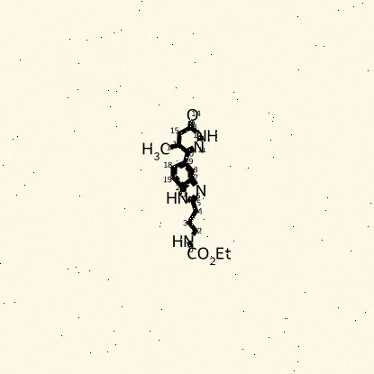 CCOC(=O)NCCCc1nc2cc(C3=NNC(=O)CC3C)ccc2[nH]1